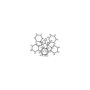 ClC([PH](C1CCCCC1)(C1CCCCC1)C1CCCCC1)[PH](C1CCCCC1)(C1CCCCC1)C1CCCCC1